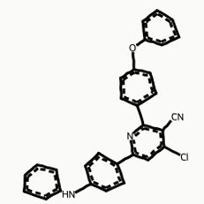 N#Cc1c(Cl)cc(-c2ccc(Nc3ccccc3)cc2)nc1-c1ccc(Oc2ccccc2)cc1